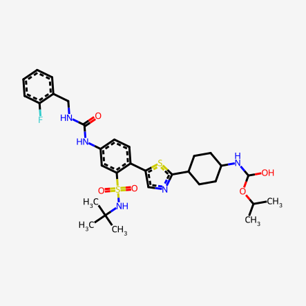 CC(C)OC(O)NC1CCC(c2ncc(-c3ccc(NC(=O)NCc4ccccc4F)cc3S(=O)(=O)NC(C)(C)C)s2)CC1